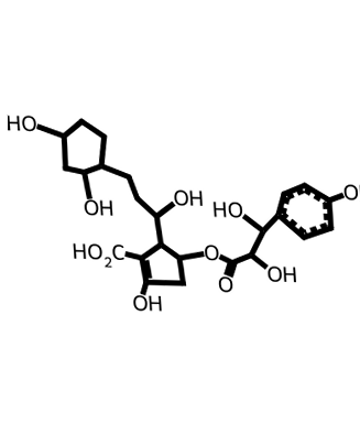 O=C(O)C1=C(O)CC(OC(=O)C(O)C(O)c2ccc(O)cc2)C1C(O)CCC1CCC(O)CC1O